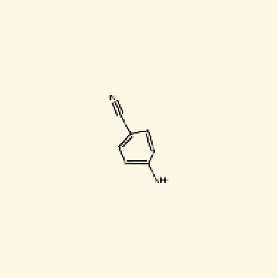 N#Cc1ccc([NH])cc1